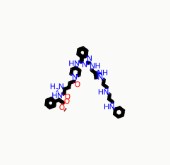 COC(=O)[C@@H](NC(=O)[C@@H](N)CCC(=O)N1CCC(Nc2nc(NCc3cn(CCCNCCCNC4CCCCC4)[nH]3)nc3ccccc23)CC1)c1ccccc1